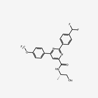 C[C@@H](CO)NC(=O)c1cc(-c2ccc(OC(F)(F)F)cc2)nc(-c2ccc(C(F)F)cc2)n1